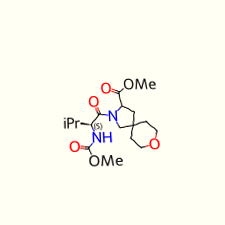 COC(=O)N[C@H](C(=O)N1CC2(CCOCC2)CC1C(=O)OC)C(C)C